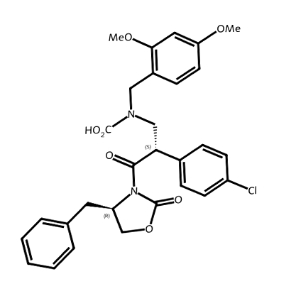 COc1ccc(CN(C[C@@H](C(=O)N2C(=O)OC[C@H]2Cc2ccccc2)c2ccc(Cl)cc2)C(=O)O)c(OC)c1